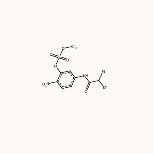 CCC(CC)C(=O)Nc1ccc([N+](=O)[O-])c(OS(=O)(=O)OC(F)(F)F)c1